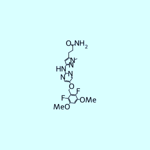 COc1cc(OC)c(F)c(COc2cnc(Nc3cc(CCC(N)=O)n(C)n3)nc2)c1F